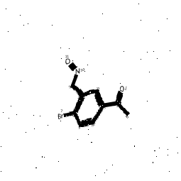 CC(=O)c1ccc(Br)c(CN=O)c1